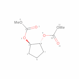 COC(=O)O[C@@H]1CCC[C@H]1OC(=O)OC